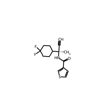 C#C[C@@](C)(NC(=O)c1ccsc1)C1CCC(F)(F)CC1